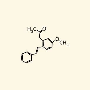 COc1ccc(C=Cc2ccccc2)c(CC(C)=O)c1